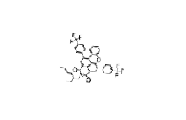 CCCCC(CC)Cn1c(=O)c2cc(-c3ccc(C(F)(F)F)cc3)c3oc4ccccc4c4c(-c5ccc(C(F)(F)F)cc5)cc(c1=O)c2c34